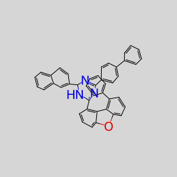 c1ccc(-c2ccc(C3=NC(c4ccc5ccccc5c4)NC(c4cccc5oc6cccc(-c7ccccc7)c6c45)=N3)cc2)cc1